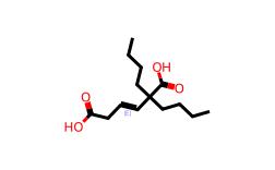 CCCCC(/C=C/CC(=O)O)(CCCC)C(=O)O